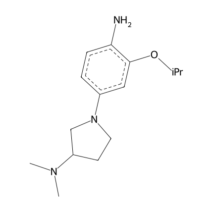 CC(C)Oc1cc(N2CCC(N(C)C)C2)ccc1N